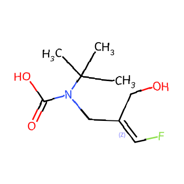 CC(C)(C)N(C/C(=C/F)CO)C(=O)O